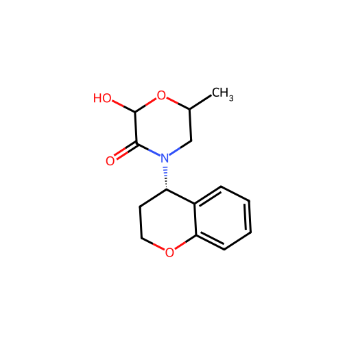 CC1CN([C@H]2CCOc3ccccc32)C(=O)C(O)O1